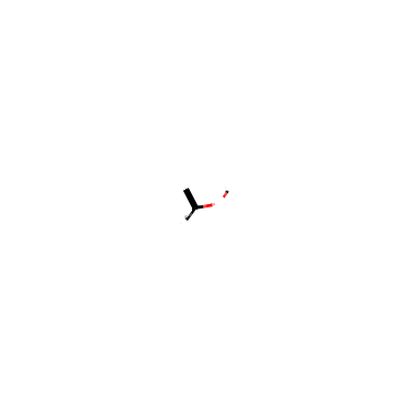 C=C(OCC)C(C)C